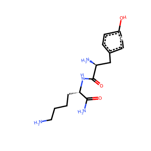 NCCCC[C@H](NC(=O)[C@@H](N)Cc1ccc(O)cc1)C(N)=O